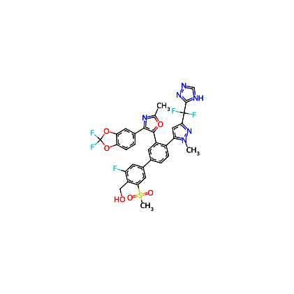 Cc1nc(-c2ccc3c(c2)OC(F)(F)O3)c(-c2cc(-c3cc(F)c(CO)c(S(C)(=O)=O)c3)ccc2-c2cc(C(F)(F)c3nnc[nH]3)nn2C)o1